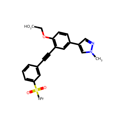 CCCS(=O)(=O)c1cccc(C#Cc2cc(-c3cnn(C)c3)ccc2OCC(=O)O)c1